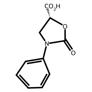 O=C(O)[C@H]1CN(c2ccccc2)C(=O)O1